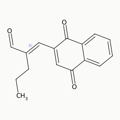 CCC/C(C=O)=C\C1=CC(=O)c2ccccc2C1=O